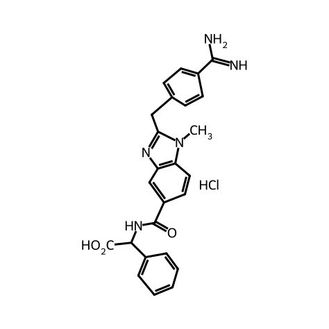 Cl.Cn1c(Cc2ccc(C(=N)N)cc2)nc2cc(C(=O)NC(C(=O)O)c3ccccc3)ccc21